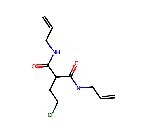 C=CCNC(=O)C(CCCl)C(=O)NCC=C